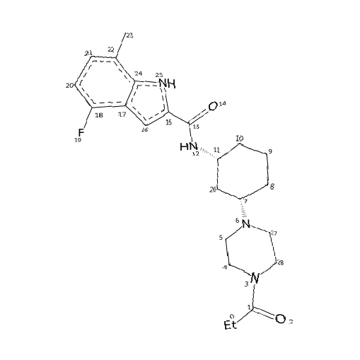 CCC(=O)N1CCN([C@H]2CCC[C@@H](NC(=O)c3cc4c(F)ccc(C)c4[nH]3)C2)CC1